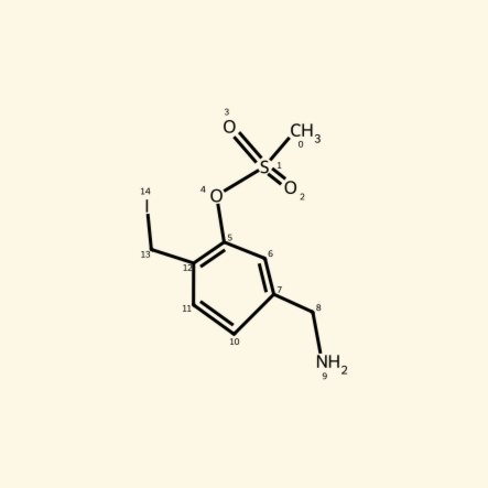 CS(=O)(=O)Oc1cc(CN)ccc1CI